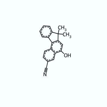 CC1(C)c2ccccc2-c2c1cc(O)c1cc(C#N)ccc21